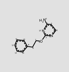 Nc1ccnc(OCCc2ccccc2)n1